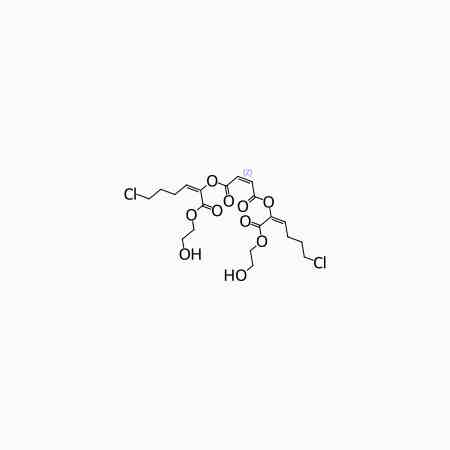 O=C(/C=C\C(=O)OC(=CCCCCl)C(=O)OCCO)OC(=CCCCCl)C(=O)OCCO